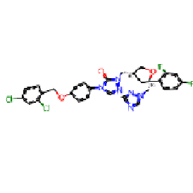 O=c1n(-c2ccc(OCc3ccc(Cl)cc3Cl)cc2)cnn1C[C@@H]1CO[C@@](Cn2cncn2)(c2ccc(F)cc2F)C1